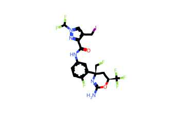 NC1=N[C@](CF)(c2cc(NC(=O)c3nn(C(F)F)cc3CI)ccc2F)C[C@@H](C(F)(F)F)O1